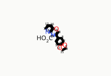 O=C(O)N1C(C2=CCC3(CC2)OCCO3)=COc2cccnc21